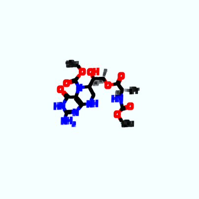 CC(C)[C@H](NC(=O)OC(C)(C)C)C(=O)O[C@@H](C)[C@H](O)C1CNc2nc(N)[nH]c(=O)c2N1C(=O)OC(C)(C)C